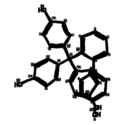 Oc1ccc(-c2ccccc2C(c2ccc(O)cc2)(c2ccc(O)cc2)c2ccc(O)cc2)cc1